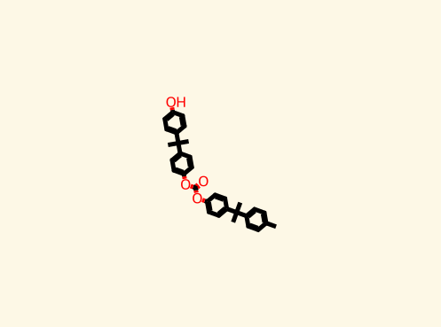 Cc1ccc(C(C)(C)c2ccc(OC(=O)Oc3ccc(C(C)(C)c4ccc(O)cc4)cc3)cc2)cc1